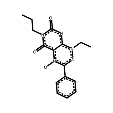 CCCn1c(=O)nc2n(CC)nc(-c3ccccc3)[n+]([O-])c-2c1=O